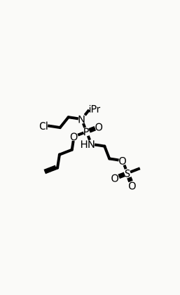 C=CCCOP(=O)(NCCOS(C)(=O)=O)N(CCCl)C(C)C